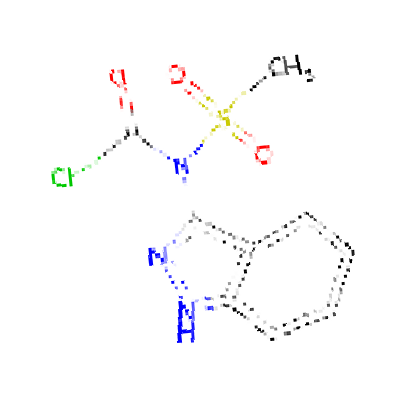 CS(=O)(=O)N(C(=O)Cl)c1n[nH]c2ccccc12